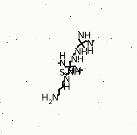 CNCC(C)(CNC)CNCNCC(CNC)(CNC)NC(=S)NCCCCN